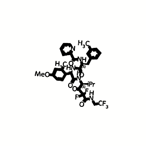 COC1=CC(C)C([C@H](NC(=O)[C@H](Cc2cccc(C)c2)NC(=O)c2ccccn2)C(=O)N[C@H](C(=O)C(F)(F)C(=O)NCC(F)(F)F)C(C)C)C=C1